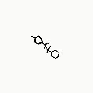 CC(C)(OC(=O)c1ccc(I)cc1)C1CCCNC1